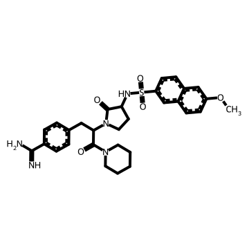 COc1ccc2cc(S(=O)(=O)NC3CCN(C(Cc4ccc(C(=N)N)cc4)C(=O)N4CCCCC4)C3=O)ccc2c1